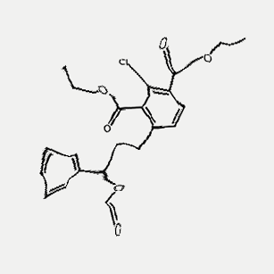 CCOC(=O)c1ccc(CCC(OC=O)c2ccccc2)c(C(=O)OCC)c1Cl